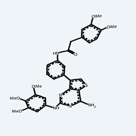 COc1ccc(CC(=O)Nc2cccc(-c3csc4c(N)nc(Nc5cc(OC)c(OC)c(OC)c5)nc34)c2)cc1OC